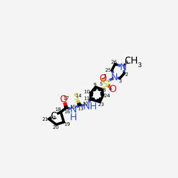 CN1CCN(S(=O)(=O)c2ccc(NC(=S)NC(=O)C3CCCC3)cc2)CC1